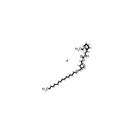 CCCCCCCCCCCCCCCCOCC1COC(COC(=O)NCCc2cccc[n+]2CC)C1.[I-]